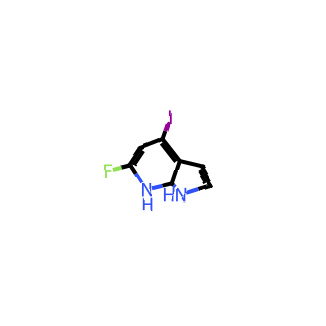 FC1=CC(I)=C2C=CNC2N1